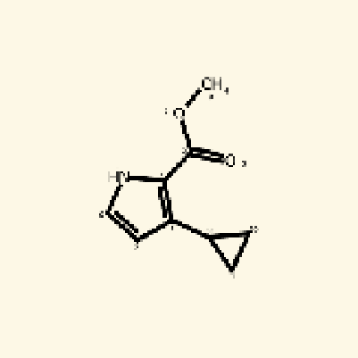 COC(=O)c1[nH]ccc1C1CC1